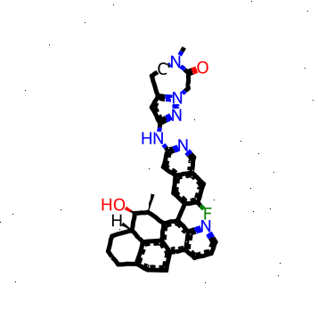 C[C@H]1c2c(-c3cc4cc(Nc5cc6n(n5)CC(=O)N(C)CC6)ncc4cc3F)c3ncccc3c3ccc4c(c23)[C@H](CCC4)[C@H]1O